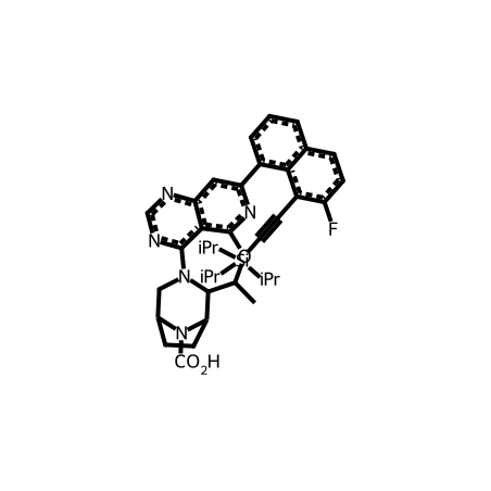 CC1Oc2nc(-c3cccc4ccc(F)c(C#C[Si](C(C)C)(C(C)C)C(C)C)c34)cc3ncnc(c23)N2CC3CCC(C12)N3C(=O)O